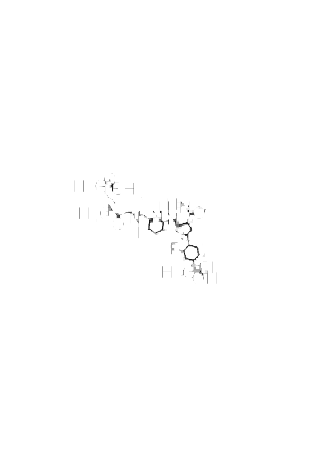 CN(CCP(C)(C)=O)C(=O)CNCc1cccc(Nc2sc(-c3ccc(C(C)(C)O)cc3F)cc2C(N)=O)n1